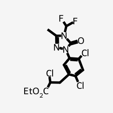 CCOC(=O)C(Cl)Cc1cc(-n2nc(C)n(C(F)F)c2=O)c(Cl)cc1Cl